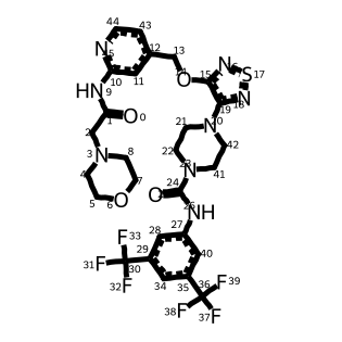 O=C(CN1CCOCC1)Nc1cc(COc2nsnc2N2CCN(C(=O)Nc3cc(C(F)(F)F)cc(C(F)(F)F)c3)CC2)ccn1